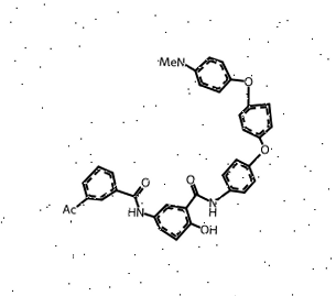 CNc1ccc(Oc2ccc(Oc3ccc(NC(=O)c4cc(NC(=O)c5cccc(C(C)=O)c5)ccc4O)cc3)cc2)cc1